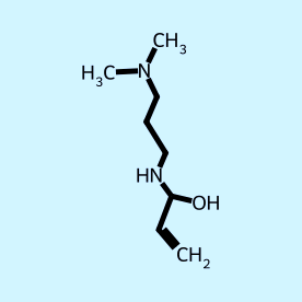 C=CC(O)NCCCN(C)C